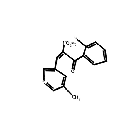 CCOC(=O)C(=Cc1cncc(C)c1)C(=O)c1ccccc1F